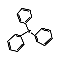 c1cc[c]([In]([c]2ccccc2)[c]2ccccc2)cc1